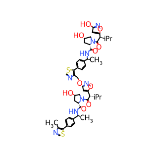 Cc1ncsc1-c1ccc([C@H](C)NC(=O)[C@@H]2C[C@@H](O)CN2C(=O)[C@H](c2cc(OCc3ncsc3-c3ccc([C@H](C)NC(=O)[C@@H]4C[C@@H](O)CN4C(=O)[C@@H](c4cc(O)no4)C(C)C)cc3)no2)C(C)C)cc1